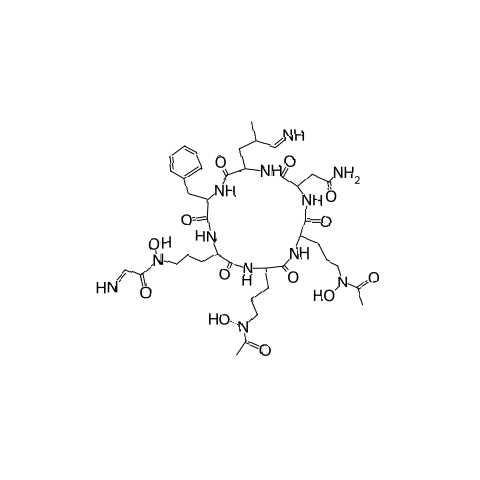 CC(=O)N(O)CCCC1NC(=O)C(CCCN(O)C(=O)C=N)NC(=O)C(Cc2ccccc2)NC(=O)C(CC(C)C=N)NC(=O)C(CC(N)=O)NC(=O)C(CCCN(O)C(C)=O)NC1=O